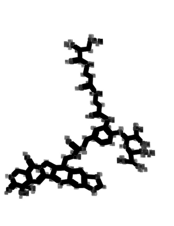 CC[C@@]1(O)C(=O)OCc2c1cc1n(c2=O)Cc2c-1nc1cc3c(cc1c2CNC(=O)OCc1ccc(OC(OC(C(=O)O)[C@H](C)O)C(O)O)c(NC(=O)CCNC(=O)CCNC(=O)C(C)CC(=O)O)c1)OCO3